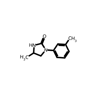 Cc1cccc(N2CC(C)NC2=O)c1